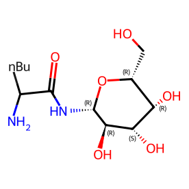 CCCCC(N)C(=O)N[C@@H]1O[C@H](CO)[C@H](O)[C@H](O)[C@H]1O